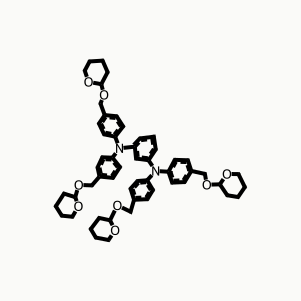 c1cc(N(c2ccc(COC3CCCCO3)cc2)c2ccc(COC3CCCCO3)cc2)cc(N(c2ccc(COC3CCCCO3)cc2)c2ccc(COC3CCCCO3)cc2)c1